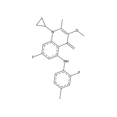 C=C1C(OC)=C(C)N(C2CC2)c2cc(F)cc(Nc3ccc(I)cc3F)c21